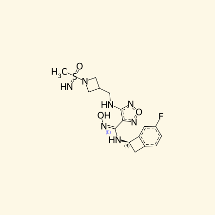 CS(=N)(=O)N1CC(CNc2nonc2/C(=N\O)N[C@@H]2Cc3ccc(F)cc32)C1